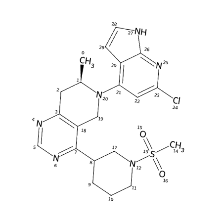 C[C@@H]1Cc2ncnc(C3CCCN(S(C)(=O)=O)C3)c2CN1c1cc(Cl)nc2[nH]ccc12